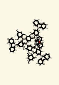 Cc1cc(C)c(N2c3cc4c(cc3B3c5cc6c(cc5Oc5cc(-n7c8ccccc8c8ccccc87)cc2c53)N(c2c(C)cc(C)cc2C)c2cc(-n3c5ccccc5c5ccccc53)cc3c2B6c2sc5ccccc5c2O3)B2c3sc5ccccc5c3Oc3cc(-n5c6ccccc6c6ccccc65)cc(c32)O4)c(C)c1